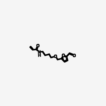 C=CC(=O)NCCCCOCc1ccc(C=O)o1